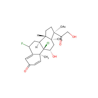 CC(=O)O[C@@]1(C(=O)CO)CC[C@H]2[C@@H]3CC(F)C4=CC(=O)C=C[C@]4(C)[C@@]3(Cl)[C@@H](O)C[C@@]21C